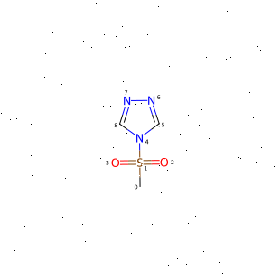 CS(=O)(=O)n1[c]nnc1